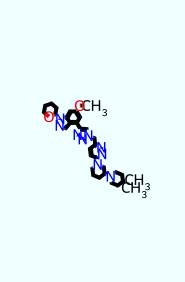 COc1cc(-c2cn(Cc3ccc(N4CCCC(N5CCC(C)(C)CC5)C4)nn3)nn2)c2cnn(C3CCCCO3)c2c1